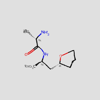 CCOC(=O)[C@H](C[C@H]1CCCO1)NC(=O)[C@@H](N)C(C)CC